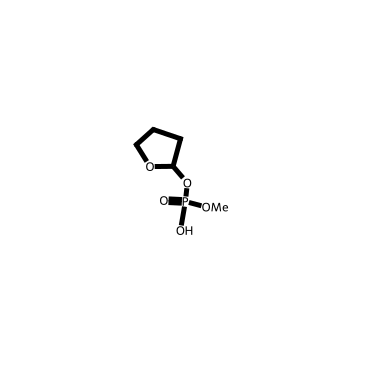 COP(=O)(O)OC1CCCO1